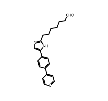 O=CCCCCCCc1ncc(-c2ccc(-c3ccncc3)cc2)[nH]1